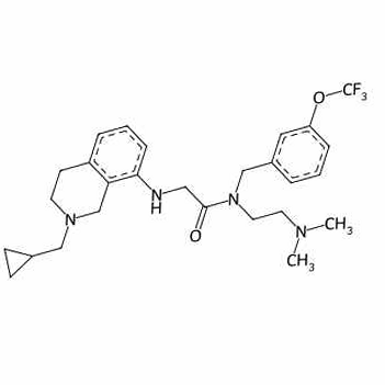 CN(C)CCN(Cc1cccc(OC(F)(F)F)c1)C(=O)CNc1cccc2c1CN(CC1CC1)CC2